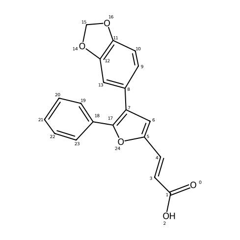 O=C(O)/C=C/c1cc(-c2ccc3c(c2)OCO3)c(-c2ccccc2)o1